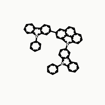 c1ccc(-n2c3ccccc3c3cc(-n4c5cccc6ccc7cc(-c8ccc9c%10ccccc%10n(-c%10ccccc%10)c9c8)cc4c7c65)ccc32)cc1